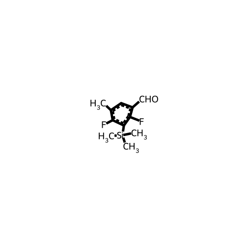 Cc1cc(C=O)c(F)c([Si](C)(C)C)c1F